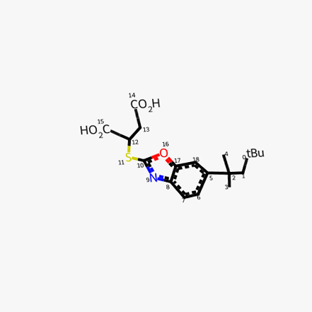 CC(C)(C)CC(C)(C)c1ccc2nc(SC(CC(=O)O)C(=O)O)oc2c1